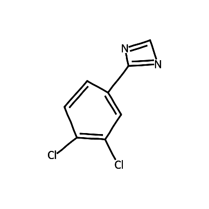 Clc1ccc(C2=NC=N2)cc1Cl